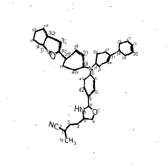 CC(C#N)CCC1COC(C2C=CC(N(C3CC=C(C4CC=CCC4)CC3)C3CCC(C4CC5CCCCC5O4)CC3)CC2)N1